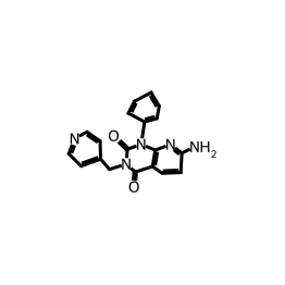 Nc1ccc2c(=O)n(Cc3ccncc3)c(=O)n(-c3ccccc3)c2n1